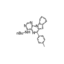 CCCCNc1ncnc2c1nc(-c1ccc(C)cc1)c1cc3ccccc3n12